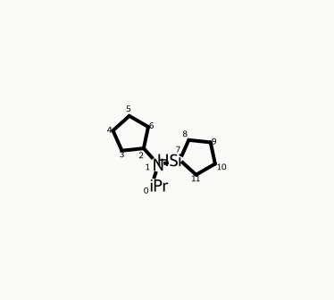 CC(C)N(C1CCCC1)[SiH]1CCCC1